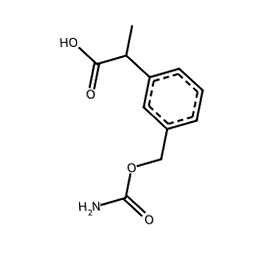 CC(C(=O)O)c1cccc(COC(N)=O)c1